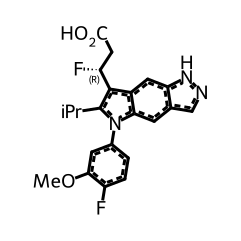 COc1cc(-n2c(C(C)C)c([C@H](F)CC(=O)O)c3cc4[nH]ncc4cc32)ccc1F